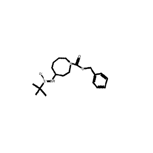 CC(C)(C)[S@@+]([O-])NC1CCCCN(C(=O)OCc2ccccc2)CC1